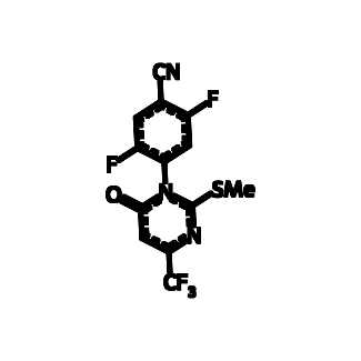 CSc1nc(C(F)(F)F)cc(=O)n1-c1cc(F)c(C#N)cc1F